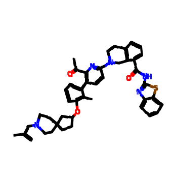 C=C(C)CN1CCC2(CCC(Oc3cccc(-c4ccc(N5CCc6cccc(C(=O)Nc7nc8ccccc8s7)c6C5)nc4C(C)=O)c3C)C2)CC1